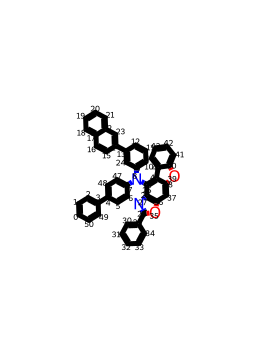 c1ccc(-c2ccc(N(c3cccc(-c4ccc5ccccc5c4)c3)c3c4nc(-c5ccccc5)oc4cc4oc5ccccc5c34)cc2)cc1